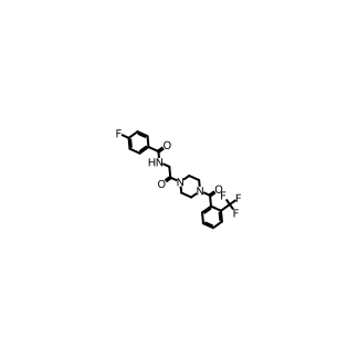 O=C(NCC(=O)N1CCN(C(=O)c2ccccc2C(F)(F)F)CC1)c1ccc(F)cc1